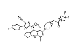 CN(c1nc(-c2ccc(F)cc2)c(C#N)s1)c1c2c(nc3c(F)cc(N4CCN(CC(=O)N5CC(F)(F)C5)CC4)cc13)CCC2